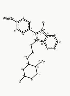 COc1ccc(-c2n(CCOC3CC(C)CCC3C(C)C)c3ccccc3[n+]2C)cc1